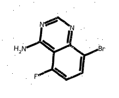 Nc1ncnc2c(Br)ccc(F)c12